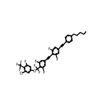 CCCCCc1ccc(C#Cc2cc(F)c(C#Cc3cc(F)c(C(F)(F)Oc4cc(F)c(C(F)(F)F)c(Cl)c4)c(F)c3)c(F)c2)cc1